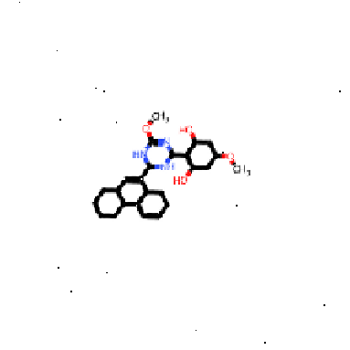 COC1=NC(C2C(O)CC(OC)CC2O)NC(C2=CC3CCCCC3C3C=CCCC23)N1